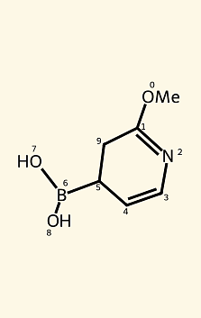 COC1=NC=CC(B(O)O)C1